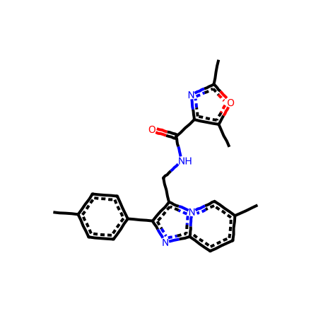 Cc1ccc(-c2nc3ccc(C)cn3c2CNC(=O)c2nc(C)oc2C)cc1